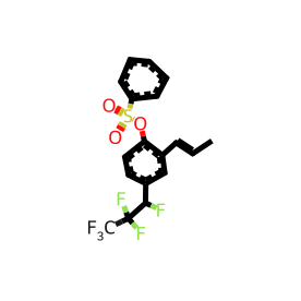 CC=Cc1cc(C(F)C(F)(F)C(F)(F)F)ccc1OS(=O)(=O)c1ccccc1